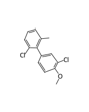 COc1ccc(-c2c(C)[c]ccc2Cl)cc1Cl